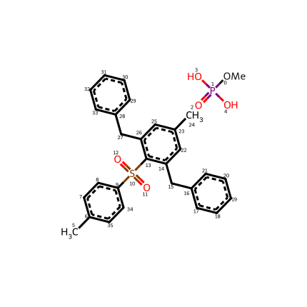 COP(=O)(O)O.Cc1ccc(S(=O)(=O)c2c(Cc3ccccc3)cc(C)cc2Cc2ccccc2)cc1